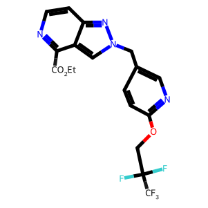 CCOC(=O)c1nccc2nn(Cc3ccc(OCC(F)(F)C(F)(F)F)nc3)cc12